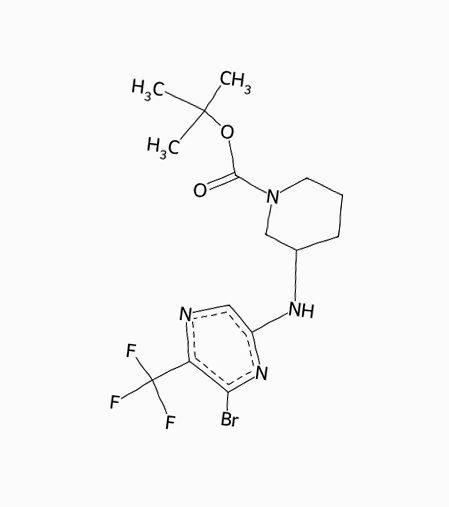 CC(C)(C)OC(=O)N1CCCC(Nc2cnc(C(F)(F)F)c(Br)n2)C1